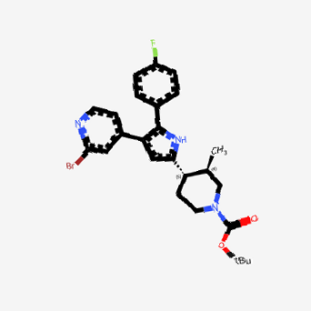 C[C@H]1CN(C(=O)OC(C)(C)C)CC[C@@H]1c1cc(-c2ccnc(Br)c2)c(-c2ccc(F)cc2)[nH]1